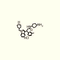 Cc1cccc(C(CC(=O)NC2CCC(N)CC2)c2cn(CC3CCNCC3)c3ccccc23)c1.Cl